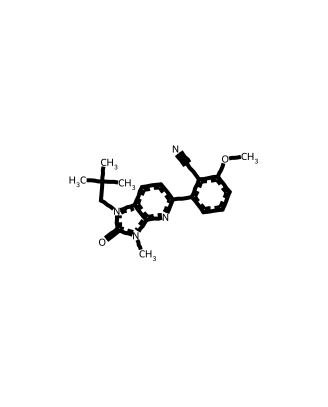 COc1cccc(-c2ccc3c(n2)n(C)c(=O)n3CC(C)(C)C)c1C#N